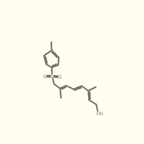 CC(C=CC=C(C)CS(=O)(=O)c1ccc(C)cc1)=CCO